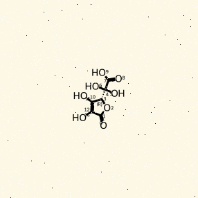 O=C1O[C@@H](C(O)(O)C(=O)O)C(O)=C1O